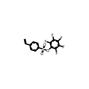 C=Cc1ccc(S(=O)(=O)Oc2c(F)c(F)c(F)c(F)c2F)cc1